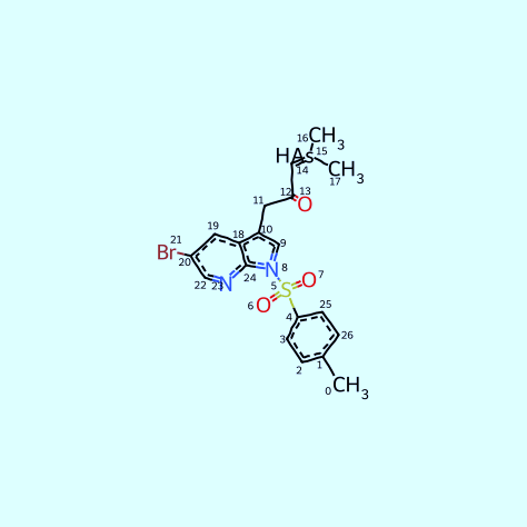 Cc1ccc(S(=O)(=O)n2cc(CC(=O)C=[AsH](C)C)c3cc(Br)cnc32)cc1